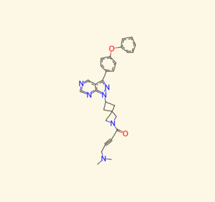 CN(C)CC#CC(=O)N1CC2(CC(n3nc(-c4ccc(Oc5ccccc5)cc4)c4cncnc43)C2)C1